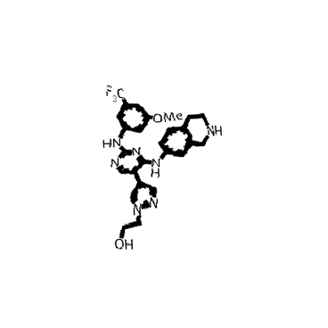 COc1cc(Nc2ncc(-c3cnn(CCO)c3)c(Nc3ccc4c(c3)CNCC4)n2)cc(C(F)(F)F)c1